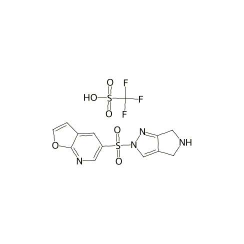 O=S(=O)(O)C(F)(F)F.O=S(=O)(c1cnc2occc2c1)n1cc2c(n1)CNC2